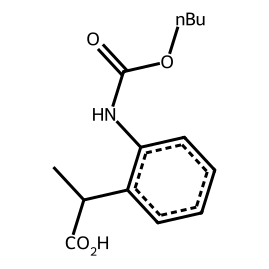 CCCCOC(=O)Nc1ccccc1C(C)C(=O)O